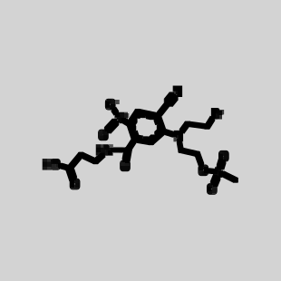 CS(=O)(=O)OCCN(CCBr)c1cc(C(=O)NCCC(=O)O)c([N+](=O)[O-])cc1C#N